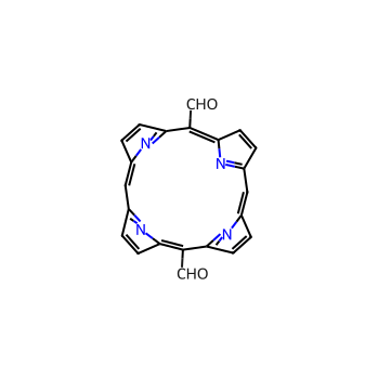 O=CC1=C2C=CC(=N2)C=C2C=CC(=N2)C(C=O)=C2C=CC(=N2)C=C2C=CC1=N2